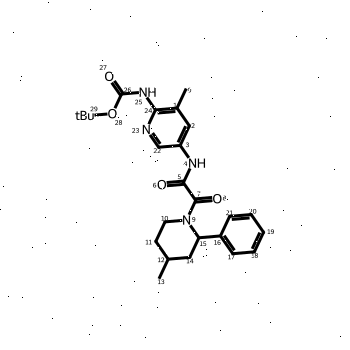 Cc1cc(NC(=O)C(=O)N2CCC(C)CC2c2ccccc2)cnc1NC(=O)OC(C)(C)C